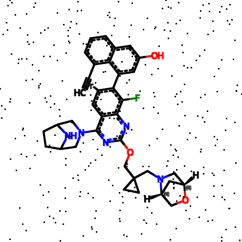 C#Cc1cccc2cc(O)cc(-c3c(C(C)C)cc4c(N5CC6CCC(C5)N6)nc(OCC5(CN6C[C@H]7C[C@@H]6CO7)CC5)nc4c3F)c12